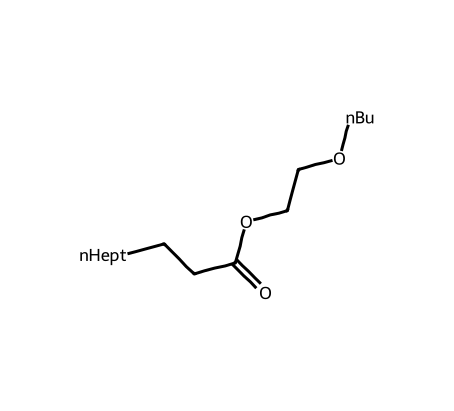 CCCCCCCCCC(=O)OCCOCCCC